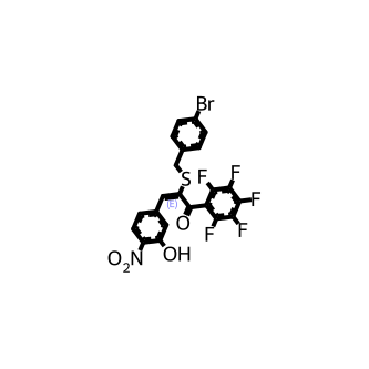 O=C(/C(=C\c1ccc([N+](=O)[O-])c(O)c1)SCc1ccc(Br)cc1)c1c(F)c(F)c(F)c(F)c1F